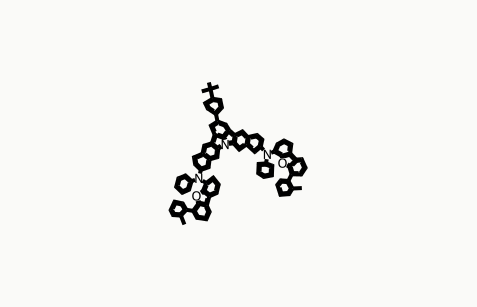 Cc1ccccc1-c1cccc2c1oc1c(N(c3ccccc3)c3ccc4cc5c6cc(-c7ccc(C(C)(C)C)cc7)cc7c8cc9ccc(N(c%10ccccc%10)c%10cccc%11c%10oc%10c(-c%12ccccc%12C)cccc%10%11)cc9cc8n(c5cc4c3)c67)cccc12